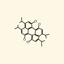 CC(C)c1cc(Cl)c2c3c(Cl)cc(C(C)C)c4c(C(C)C)cc(Cl)c(c5c(Cl)cc(C(C)C)c1c25)c43